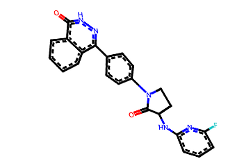 O=C1C(Nc2cccc(F)n2)CCN1c1ccc(-c2n[nH]c(=O)c3ccccc23)cc1